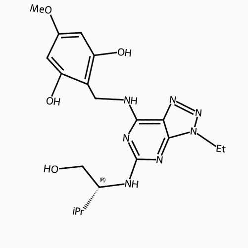 CCn1nnc2c(NCc3c(O)cc(OC)cc3O)nc(N[C@@H](CO)C(C)C)nc21